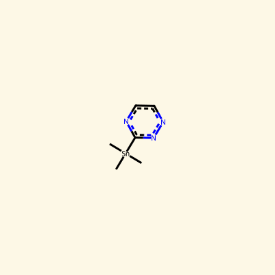 [CH3][Sn]([CH3])([CH3])[c]1nccnn1